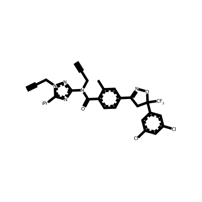 C#CCN(C(=O)c1ccc(C2=NOC(c3cc(Cl)cc(Cl)c3)(C(F)(F)F)C2)cc1C)c1nc(C(C)C)n(CC#C)n1